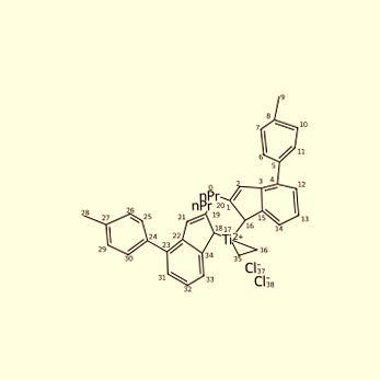 CCCC1=Cc2c(-c3ccc(C)cc3)cccc2[CH]1[Ti+2]1([CH]2C(CCC)=Cc3c(-c4ccc(C)cc4)cccc32)[CH2][CH2]1.[Cl-].[Cl-]